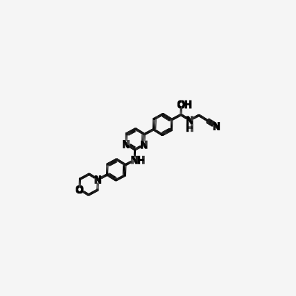 N#CCNC(O)c1ccc(-c2ccnc(Nc3ccc(N4CCOCC4)cc3)n2)cc1